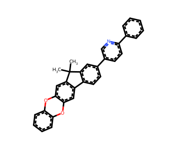 CC1(C)c2cc(-c3ccc(-c4ccccc4)nc3)ccc2-c2cc3c(cc21)Oc1ccccc1O3